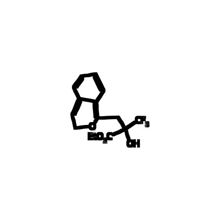 CCOC(=O)C(O)(CC1=c2ccccc2=CCO1)C(F)(F)F